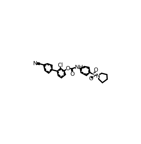 N#Cc1ccc(-c2cccc(OC(=O)Nc3ccc(S(=O)(=O)N4CCCCC4)cc3)c2Cl)cc1